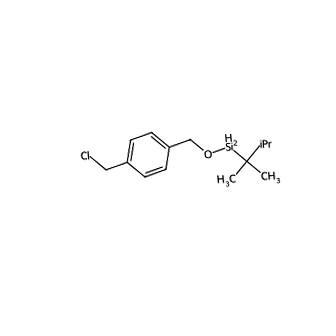 CC(C)C(C)(C)[SiH2]OCc1ccc(CCl)cc1